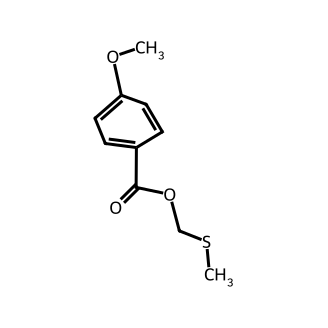 COc1ccc(C(=O)OCSC)cc1